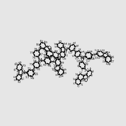 c1cc(-c2cccc3oc4c5ccccc5ccc4c23)cc(N(c2ccc(-c3cccc(-n4c5ccccc5c5cc(-c6cc(-c7ccc(N(c8ccc(-c9cccc(-n%10c%11ccccc%11c%11ccccc%11%10)c9)cc8)c8cccc(-c9cccc%10oc%11c%12ccccc%12ccc%11c9%10)c8)cc7)c7sc8ccccc8c7c6)ccc54)c3)cc2)c2ccc(-c3ccc4sc5ccccc5c4c3)cc2)c1